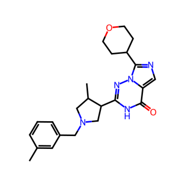 Cc1cccc(CN2CC(C)C(c3nn4c(C5CCOCC5)ncc4c(=O)[nH]3)C2)c1